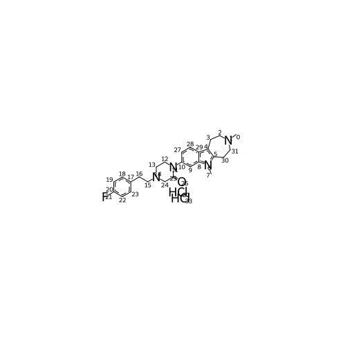 CN1CCc2c(n(C)c3cc(N4CCN(CCc5ccc(F)cc5)CC4=O)ccc23)CC1.Cl.Cl